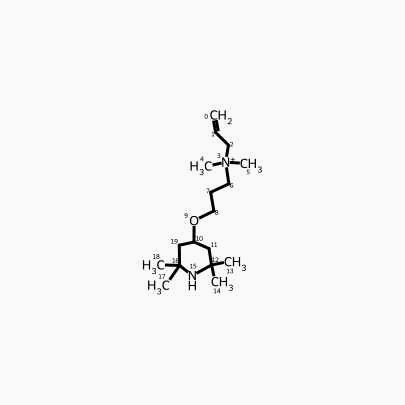 C=CC[N+](C)(C)CCCOC1CC(C)(C)NC(C)(C)C1